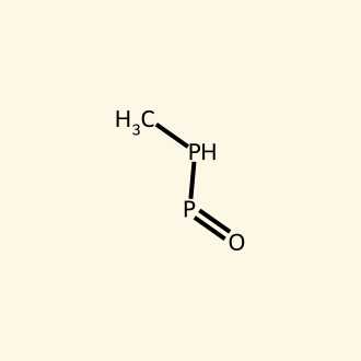 CPP=O